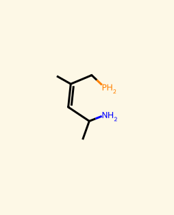 CC(=CC(C)N)CP